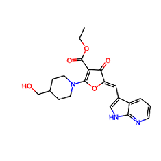 CCOC(=O)C1=C(N2CCC(CO)CC2)OC(=Cc2c[nH]c3ncccc23)C1=O